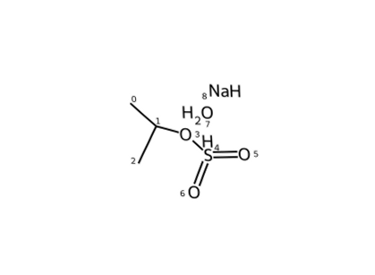 CC(C)O[SH](=O)=O.O.[NaH]